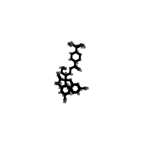 C=C(C)C1CCN(C(=O)CCN(CC(C)(C)C)C2(Cc3cccc(Cl)c3)C(=O)Nc3cc(Cl)ccc32)CC1